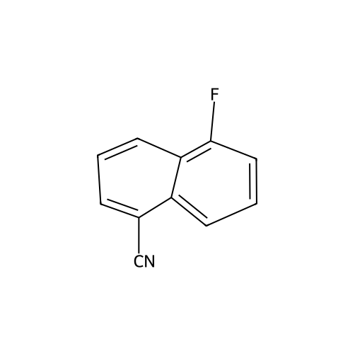 N#Cc1cccc2c(F)cccc12